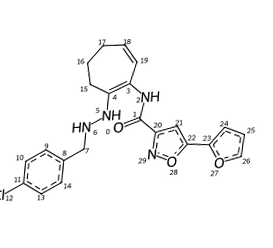 O=C(NC1=C(NNCc2ccc(Cl)cc2)CCCC=C1)c1cc(-c2ccco2)on1